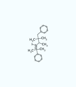 CC([SiH](I)C(C)(C)c1ccccc1)C(C)(C)Cc1ccccc1